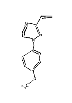 C=Cc1ncn(-c2ccc(OC(F)(F)F)cc2)n1